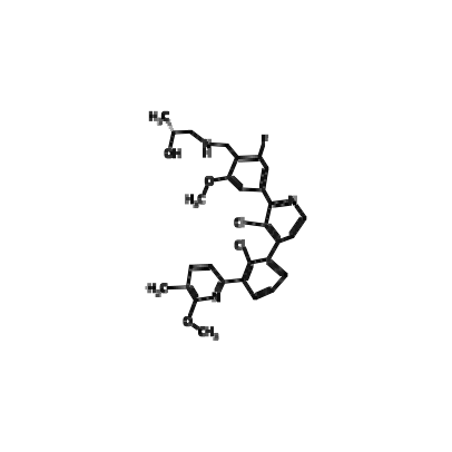 [CH2]c1ccc(-c2cccc(-c3ccnc(-c4cc(F)c(CNC[C@@H](C)O)c(OC)c4)c3Cl)c2Cl)nc1OC